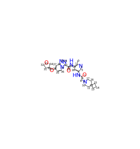 Cc1ncc(NC(=O)CN2CCC3(CCC3)CC2)cc1NC(=O)c1nnc2cc(OC3CCOC3)ccn12